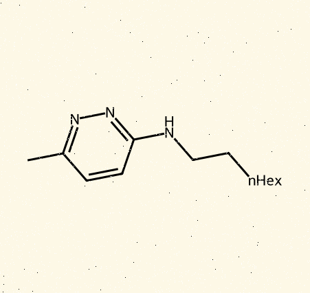 CCCCCCCCNc1ccc(C)nn1